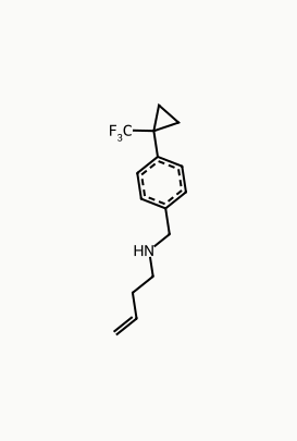 C=CCCNCc1ccc(C2(C(F)(F)F)CC2)cc1